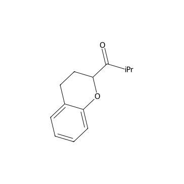 CC(C)C(=O)C1CCc2ccccc2O1